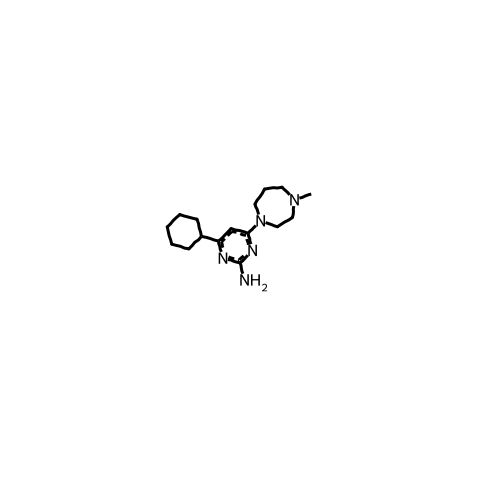 CN1CCCN(c2cc(C3CCCCC3)nc(N)n2)CC1